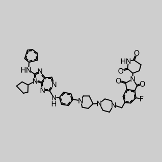 O=C1CCC(N2C(=O)c3cc(CN4CCN(C5CCN(c6ccc(Nc7ncc8nc(Nc9ccccc9)n(C9CCCC9)c8n7)cc6)CC5)CC4)cc(F)c3C2=O)C(=O)N1